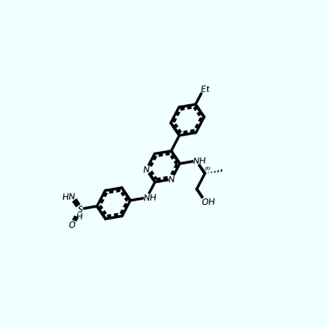 CCc1ccc(-c2cnc(Nc3ccc([SH](=N)=O)cc3)nc2N[C@H](C)CO)cc1